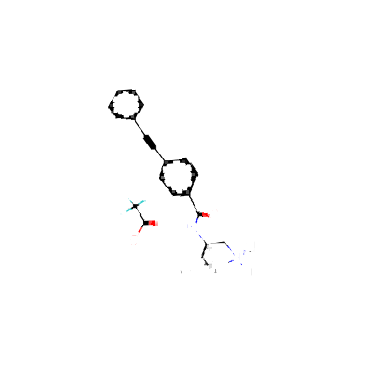 C[N+](C)(C)C[C@@H](CC(=O)O)NC(=O)c1ccc(C#Cc2ccccc2)cc1.O=C(O)C(F)(F)F